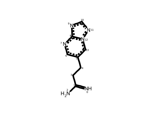 N=C(N)CCc1cnc2ncnn2c1